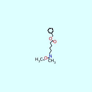 CCOC(C)=NCCCCCC(=O)OCc1ccccc1